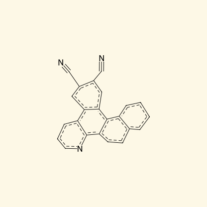 N#Cc1cc2c3cccnc3c3ccc4ccccc4c3c2cc1C#N